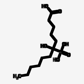 CCCCCCC(O)(CCCCC(=O)O)P(=O)(O)O